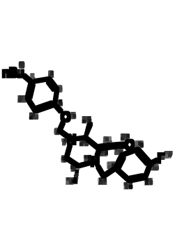 CCCCc1ccc(OCN2C[C@@H](C)N(Cc3ccc(F)cc3)C(=C=O)[C@@H]2C)cc1